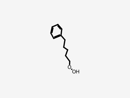 OOCCCCCc1ccccc1